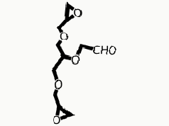 O=CCOC(COCC1CO1)COCC1CO1